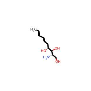 C/C=C/C=C/C[C@@H](O)[C@@H](O)[C@@H](N)CO